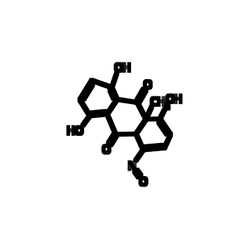 CC12C(=O)c3c(O)ccc(O)c3C(=O)C1C(N=O)=CC=C2O